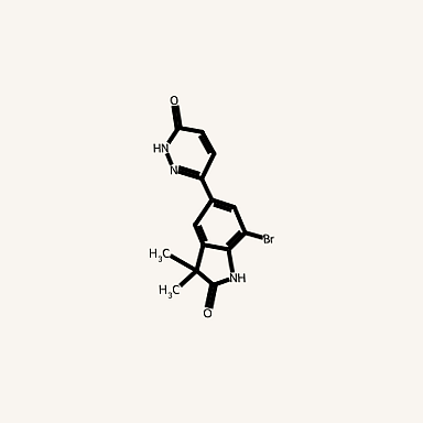 CC1(C)C(=O)Nc2c(Br)cc(-c3ccc(=O)[nH]n3)cc21